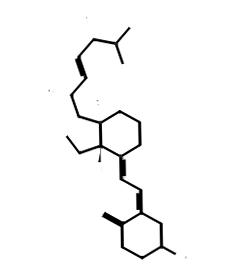 C=C1CCC(O)C/C1=C/C=C1\CCC[C@]2(C)[C@@H]([C@H](C)/C=C/[C@H](C)C(C)C)CC[C@@H]12